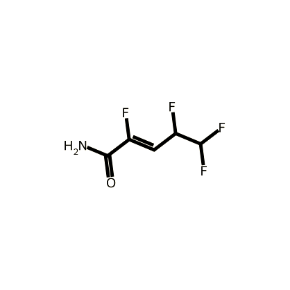 NC(=O)C(F)=CC(F)C(F)F